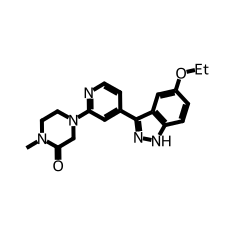 CCOc1ccc2[nH]nc(-c3ccnc(N4CCN(C)C(=O)C4)c3)c2c1